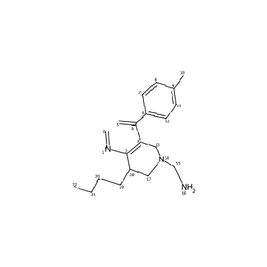 C=NC1=C(C(=C)c2ccc(C)cc2)CN(CN)CC1CCCC